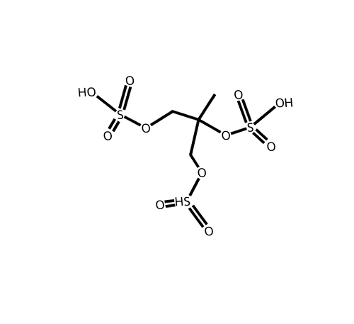 CC(CO[SH](=O)=O)(COS(=O)(=O)O)OS(=O)(=O)O